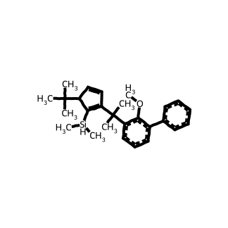 COc1c(-c2ccccc2)cccc1C(C)(C)C1=C([SiH](C)C)C(C(C)(C)C)C=C1